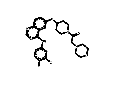 O=C(CN1CCOCC1)N1CCC(Oc2ccc3ncnc(Nc4ccc(F)c(Cl)c4)c3c2)CC1